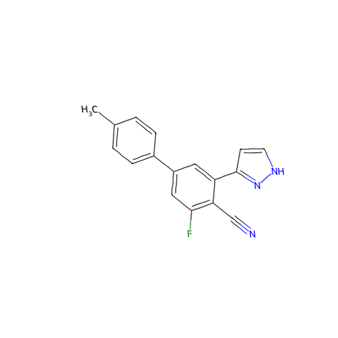 Cc1ccc(-c2cc(F)c(C#N)c(-c3cc[nH]n3)c2)cc1